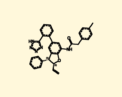 C=C[C@@H]1Oc2c(NC(=O)Cc3ccc(C)cc3)cc(-c3ccccc3-c3nnn[nH]3)cc2[C@H]1c1ccccc1